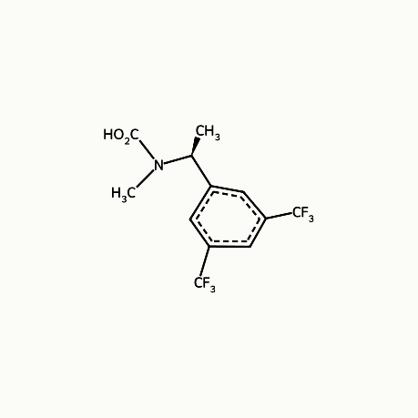 C[C@@H](c1cc(C(F)(F)F)cc(C(F)(F)F)c1)N(C)C(=O)O